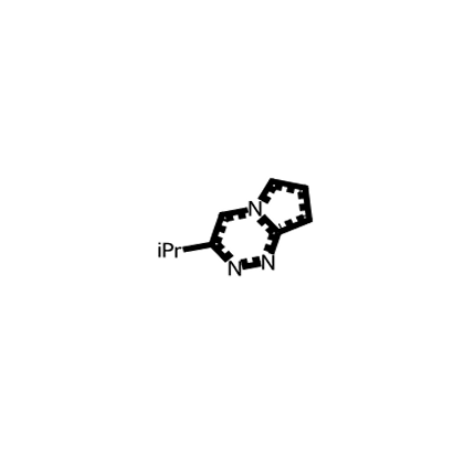 CC(C)c1cn2cccc2nn1